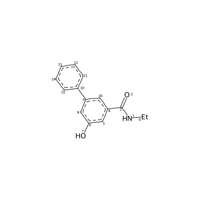 CCNC(=O)c1cc(O)cc(-c2ccccc2)c1